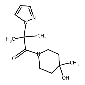 CC1(O)CCN(C(=O)C(C)(C)n2c[c]cn2)CC1